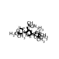 CN(C)Cc1cc(B2OC(C)(C)C(C)(C)O2)cnc1N1CCOC(C)(C)C1